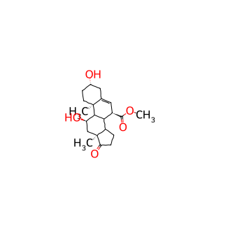 COC(=O)[C@@H]1C=C2C[C@@H](O)CC[C@]2(C)C2C1C1CCC(=O)[C@@]1(C)C[C@H]2O